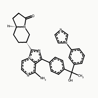 CC(O)(c1ccc(-c2nc([C@@H]3CC[C@H]4CCC(=O)N4C3)n3ccnc(N)c23)cc1)c1cccc(-n2ccnc2)c1